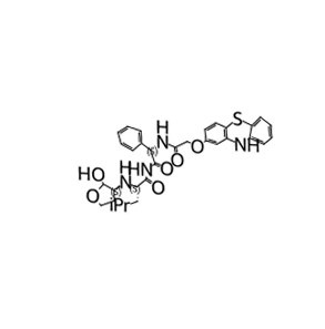 CC(C)C[C@H](N[C@H]1CCOC1O)C(=O)NC(=O)[C@@H](NC(=O)COc1ccc2c(c1)Nc1ccccc1S2)c1ccccc1